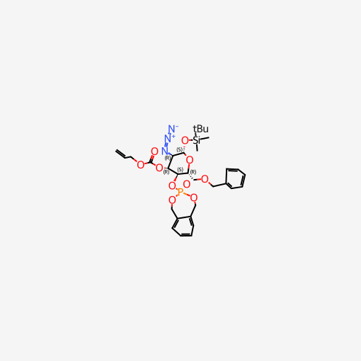 C=CCOC(=O)O[C@@H]1[C@@H](N=[N+]=[N-])[C@H](O[Si](C)(C)C(C)(C)C)O[C@H](COCc2ccccc2)[C@H]1OP1(=O)OCc2ccccc2CO1